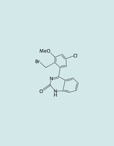 COc1cc(Cl)cc(-c2nc(=O)[nH]c3ccccc23)c1CBr